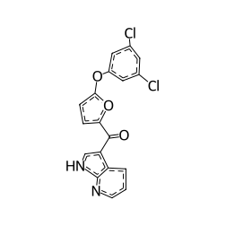 O=C(c1ccc(Oc2cc(Cl)cc(Cl)c2)o1)c1c[nH]c2ncccc12